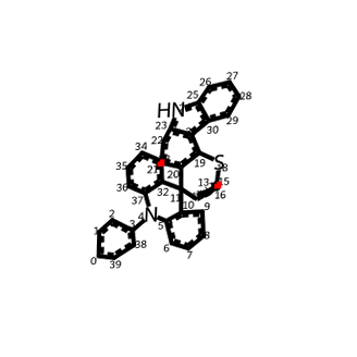 c1ccc(N2c3ccccc3C3(c4ccccc4Sc4c3ccc3[nH]c5ccccc5c43)c3ccccc32)cc1